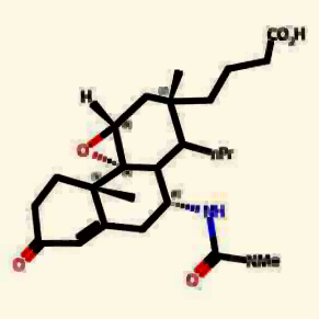 CCCC1C2[C@H](NC(=O)NC)CC3=CC(=O)CC[C@]3(C)[C@]23O[C@@H]3C[C@]1(C)CCCC(=O)O